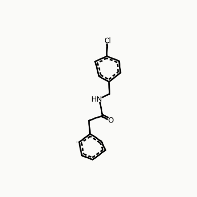 O=C(Cc1[c]cccc1)NCc1ccc(Cl)cc1